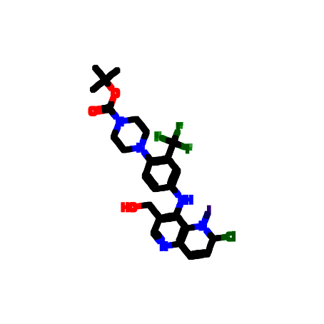 CC(C)(C)OC(=O)N1CCN(c2ccc(Nc3c(CO)cnc4c3N(I)C(Cl)C=C4)cc2C(F)(F)F)CC1